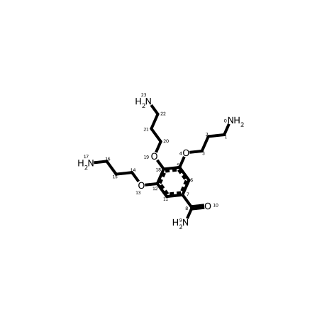 NCCCOc1cc(C(N)=O)cc(OCCCN)c1OCCCN